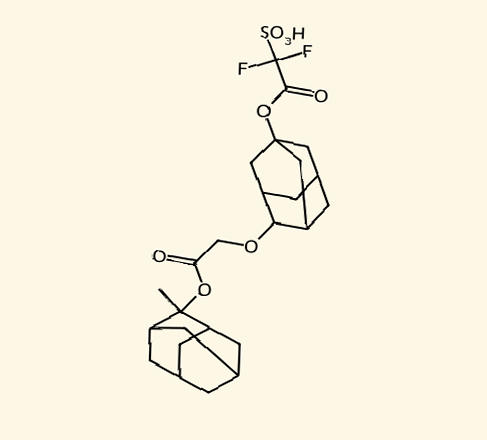 CC1(OC(=O)COC2C3CC4CC2CC(OC(=O)C(F)(F)S(=O)(=O)O)(C4)C3)C2CC3CC(C2)CC1C3